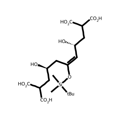 CC(C)(C)[Si](C)(C)O/C(=C/[C@H](O)CC(C(=O)O)C(=O)O)C[C@H](O)CC(C(=O)O)C(=O)O